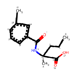 CCC[C@](C)(NC(=O)c1cccc(C)c1)C(=O)O